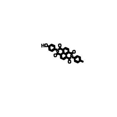 Cc1ccc(N2C(=O)c3ccc4c5c(ccc(c35)C2=O)C(=O)N(c2ccc(O)cc2)C4=O)cc1